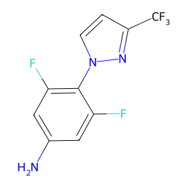 Nc1cc(F)c(-n2ccc(C(F)(F)F)n2)c(F)c1